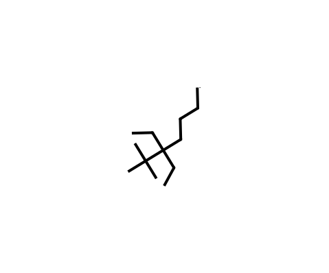 [CH2]CCCC(CC)(CC)C(C)(C)C